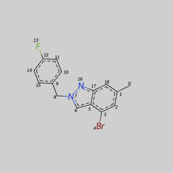 Cc1cc(Br)c2cn(Cc3ccc(F)cc3)nc2c1